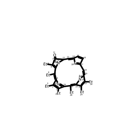 CCC1=C(CC)C2=C(CC)C3=C(CC)C(=O)C(C=C4C=CC(=N4)C=c4[nH]c(c(CC)c4CC)=C(CC)C1=N2)N3CC